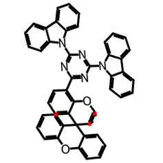 c1ccc2c(c1)Oc1ccccc1C21c2ccccc2Oc2c(-c3nc(-n4c5ccccc5c5ccccc54)nc(-n4c5ccccc5c5ccccc54)n3)cccc21